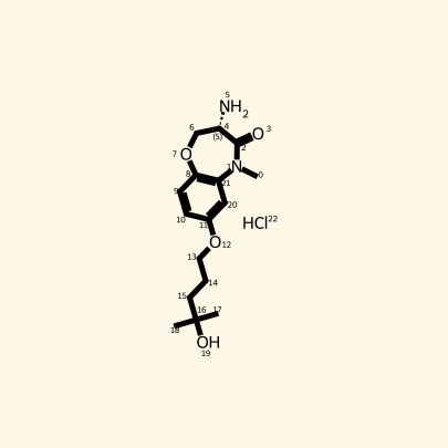 CN1C(=O)[C@@H](N)COc2ccc(OCCCC(C)(C)O)cc21.Cl